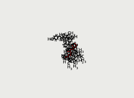 CC[C@H](C)[C@H](NC(=O)[C@@H](NC(=O)[C@H](CC(C)C)NC(=O)[C@H](Cc1c[nH]cn1)NC(=O)[C@H](Cc1ccccc1)NC(=O)[C@@H]1CCCN1C(=O)[C@H](Cc1c[nH]cn1)NC(=O)[C@@H](NC(=O)[C@@H](N)Cc1ccc(O)cc1)[C@@H](C)CC)C(C)C)C(=O)N[C@@H](Cc1c[nH]cn1)C(=O)N[C@@H](CCCCN)C(=O)O